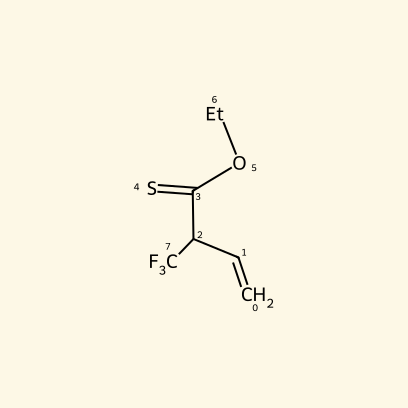 C=CC(C(=S)OCC)C(F)(F)F